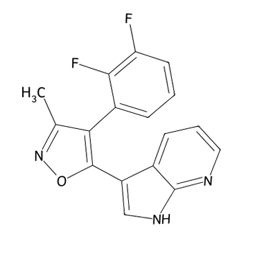 Cc1noc(-c2c[nH]c3ncccc23)c1-c1cccc(F)c1F